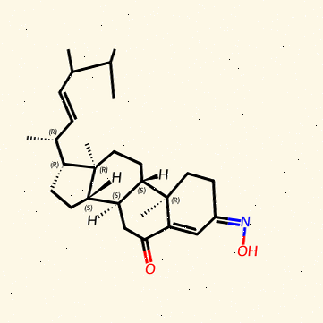 CC(C)C(C)C=C[C@@H](C)[C@H]1CC[C@H]2[C@@H]3CC(=O)C4=CC(=NO)CC[C@]4(C)[C@H]3CC[C@]12C